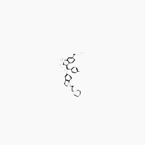 COC(=O)c1ccc2c(c1)NC(=O)/C2=C(\Nc1ccc2c(c1)CCN2C(=O)CN1CCCCC1)c1ccc(F)cc1